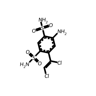 Nc1cc(C(Cl)=CCl)c(S(N)(=O)=O)cc1S(N)(=O)=O